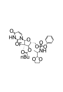 CCCCC(=O)O[C@@H]1[C@@H](COP(=O)(NC(C)C2OCCO2)Oc2ccccc2)OC(n2ccc(=O)[nH]c2=O)[C@]1(C)F